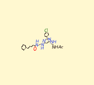 CC(=O)NCCNc1cc(NCCNC(=O)/C=C/C=C/c2ccccc2)nc(-c2ccc(Cl)cc2)n1